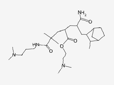 CC1C2CCC(C2)C1CC(CC(CC(C)(C)C(=O)NCCCN(C)C)C(=O)OCCN(C)C)C(N)=O